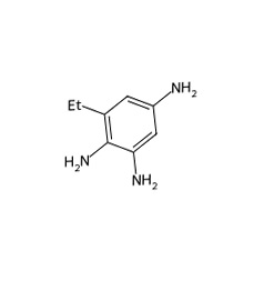 CCc1cc(N)cc(N)c1N